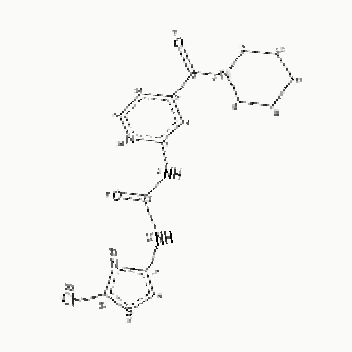 O=C(Nc1cc(C(=O)N2CCCCC2)ccn1)Nc1csc(Cl)n1